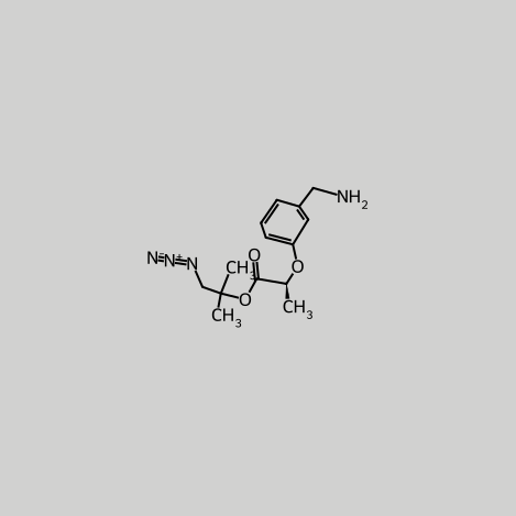 C[C@H](Oc1cccc(CN)c1)C(=O)OC(C)(C)CN=[N+]=[N-]